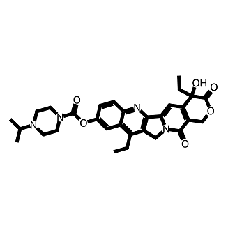 CCc1c2c(nc3ccc(OC(=O)N4CCN(C(C)C)CC4)cc13)-c1cc3c(c(=O)n1C2)COC(=O)C3(O)CC